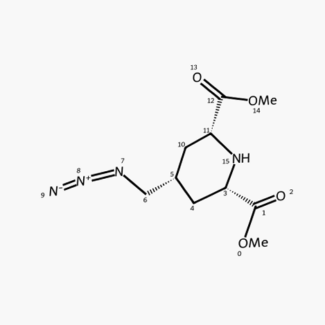 COC(=O)[C@@H]1C[C@H](CN=[N+]=[N-])C[C@H](C(=O)OC)N1